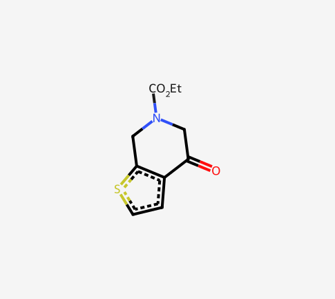 CCOC(=O)N1CC(=O)c2ccsc2C1